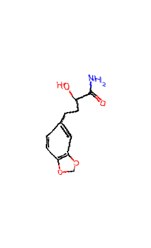 NC(=O)C(O)CCc1ccc2c(c1)OCO2